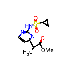 COC(=O)C(C)c1ccnc(NS(=O)(=O)C2CC2)n1